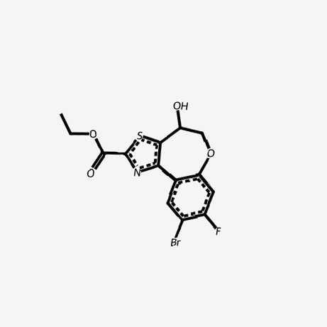 CCOC(=O)c1nc2c(s1)C(O)COc1cc(F)c(Br)cc1-2